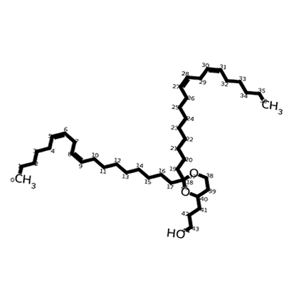 CCCCC/C=C\C/C=C\CCCCCCCCC1(CCCCCCCC/C=C\C/C=C\CCCCC)OCCC(CCCO)O1